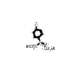 CCOC(=O)NN(C(=O)OCC)c1ccc(Cl)cc1